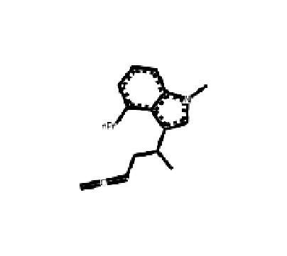 C=C=CCC(C)c1cn(C)c2cccc(CCC)c12